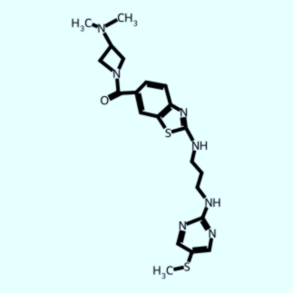 CSc1cnc(NCCCNc2nc3ccc(C(=O)N4CC(N(C)C)C4)cc3s2)nc1